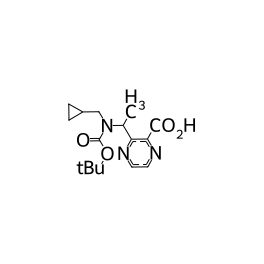 CC(c1nccnc1C(=O)O)N(CC1CC1)C(=O)OC(C)(C)C